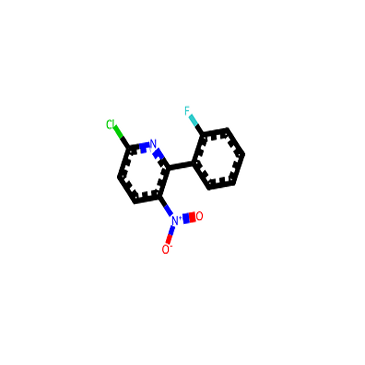 O=[N+]([O-])c1ccc(Cl)nc1-c1ccccc1F